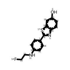 Oc1ccc2nc(-c3ccc(NCCF)cc3)sc2c1